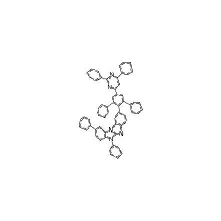 c1ccc(-c2ccc3c(c2)n2c4cc(-c5c(-c6ccccc6)cc(-c6cc(-c7ccccc7)nc(-c7ccccc7)n6)cc5-c5ccccc5)ccc4nc2n3-c2ccccc2)cc1